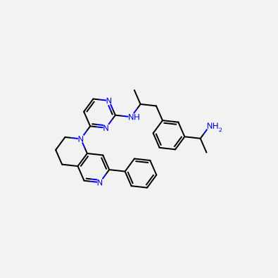 CC(Cc1cccc(C(C)N)c1)Nc1nccc(N2CCCc3cnc(-c4ccccc4)cc32)n1